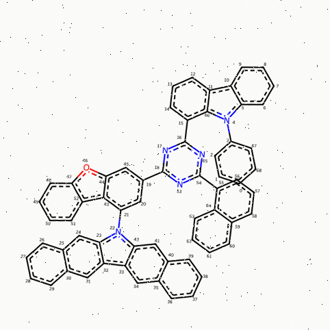 c1ccc(-n2c3ccccc3c3cccc(-c4nc(-c5cc(-n6c7cc8ccccc8cc7c7cc8ccccc8cc76)c6c(c5)oc5ccccc56)nc(-c5cccc6ccccc56)n4)c32)cc1